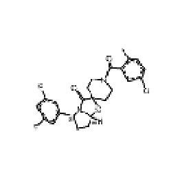 Cc1ccc(Cl)cc1C(=O)N1CCC2(CC1)O[C@@H]1CC[C@@H](c3cc(F)cc(F)c3)N1C2=O